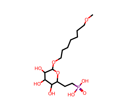 COCCCCCCCOC1OC(CCP(=O)(O)O)C(O)C(O)C1O